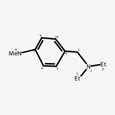 CCN(CC)Cc1ccc(NC)cc1